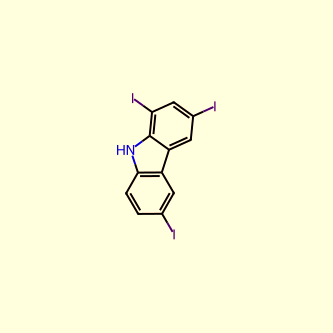 Ic1ccc2[nH]c3c(I)cc(I)cc3c2c1